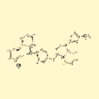 CC1=CCC(C2CCC(Cc3ccc(Oc4ccccc4-c4cccc(O)c4)cc3)C3CCCCC23)=C1